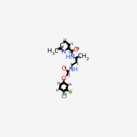 C=C(CCNC(=O)COc1ccc(Cl)c(F)c1)NC(=O)c1cccc(C)n1